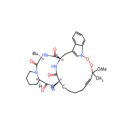 CCC(C)[C@@H]1NC(=O)[C@@H]2Cc3cn(c4ccccc34)OOC(C)(OC)/C=C/CCCC[C@H](NC(=O)[C@H]3CCCCN3C1=O)C(=O)N2